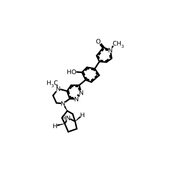 CN1CCN([C@@H]2C[C@H]3CC[C@@H](C2)N3)c2nnc(-c3ccc(-c4ccn(C)c(=O)c4)cc3O)cc21